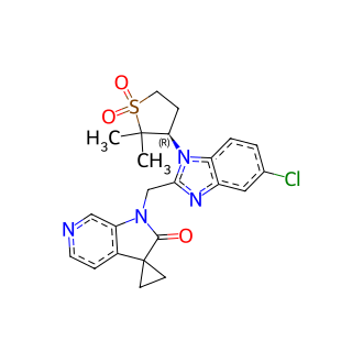 CC1(C)[C@H](n2c(CN3C(=O)C4(CC4)c4ccncc43)nc3cc(Cl)ccc32)CCS1(=O)=O